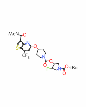 CNC(=O)c1csc2c(C(F)(F)F)cc(OC3CCN(C(=O)OC4CN(C(=O)OC(C)(C)C)CC4F)CC3)nc12